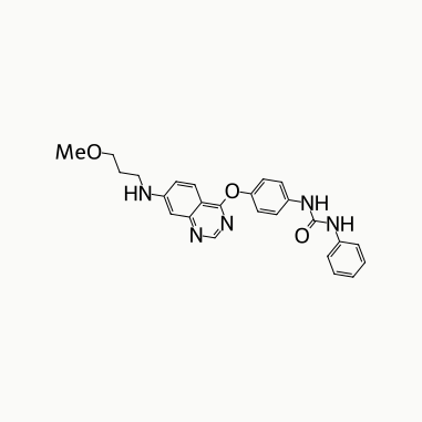 COCCCNc1ccc2c(Oc3ccc(NC(=O)Nc4ccccc4)cc3)ncnc2c1